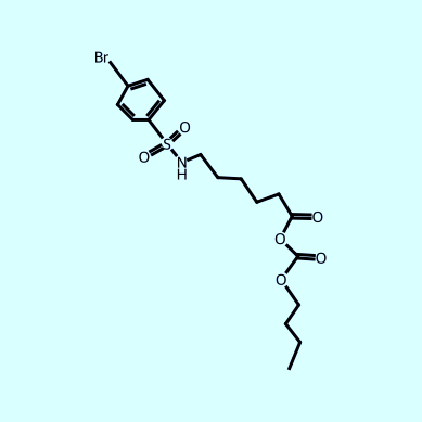 CCCCOC(=O)OC(=O)CCCCCNS(=O)(=O)c1ccc(Br)cc1